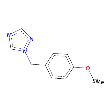 CSOc1ccc(Cn2cncn2)cc1